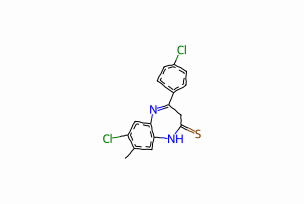 Cc1cc2c(cc1Cl)N=C(c1ccc(Cl)cc1)CC(=S)N2